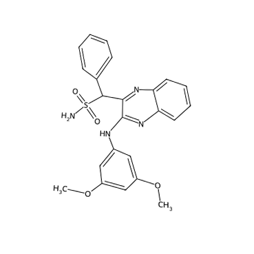 COc1cc(Nc2nc3ccccc3nc2C(c2ccccc2)S(N)(=O)=O)cc(OC)c1